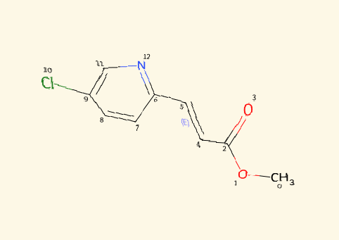 COC(=O)/C=C/c1ccc(Cl)cn1